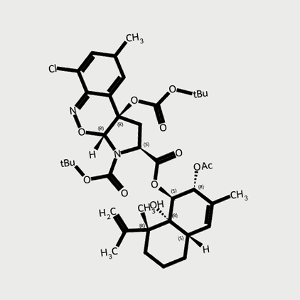 C=C(C)[C@@]1(C)CCC[C@H]2C=C(C)[C@@H](OC(C)=O)[C@H](OC(=O)[C@@H]3C[C@@]4(OC(=O)OC(C)(C)C)C5=CC(C)C=C(Cl)C5=NO[C@H]4N3C(=O)OC(C)(C)C)[C@@]21O